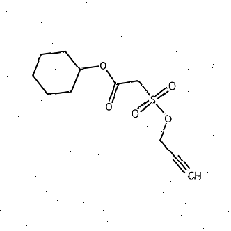 C#CCOS(=O)(=O)CC(=O)OC1CCCCC1